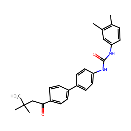 Cc1ccc(NC(=O)Nc2ccc(-c3ccc(C(=O)CC(C)(C)C(=O)O)cc3)cc2)cc1C